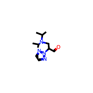 CC(C)N(CC(C=O)n1nccn1)C(C)C